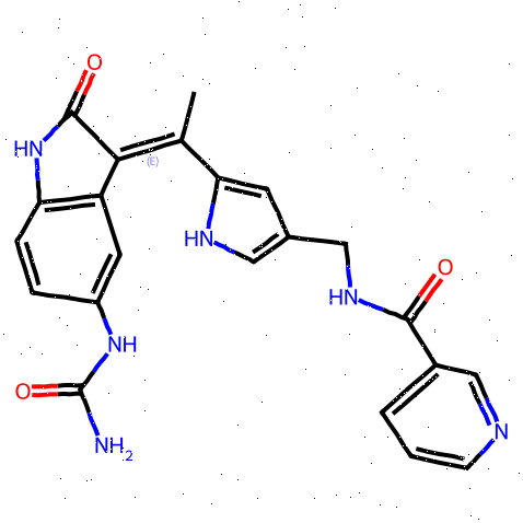 C/C(=C1\C(=O)Nc2ccc(NC(N)=O)cc21)c1cc(CNC(=O)c2cccnc2)c[nH]1